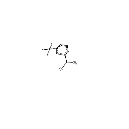 CC(C)c1cc(C(F)(F)F)ccn1